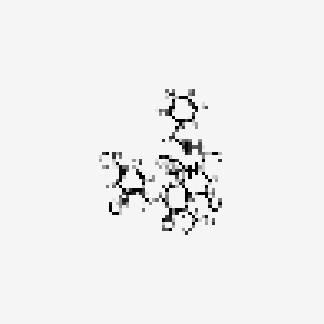 CCN1CC(=O)N2[C@@H](C(C)C)C(=O)N(Cc3ccc(Cl)cc3Cl)C[C@@H]2N1C(=O)NCc1ccccc1